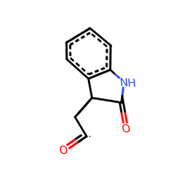 O=[C]CC1C(=O)Nc2ccccc21